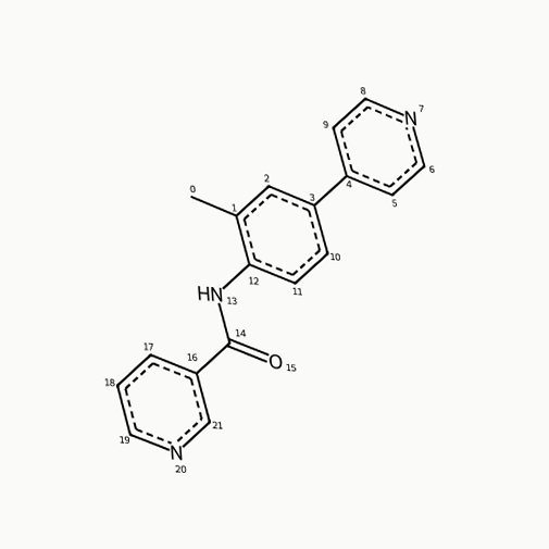 Cc1cc(-c2ccncc2)ccc1NC(=O)c1cccnc1